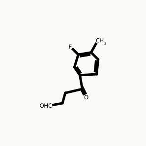 Cc1ccc(C(=O)CCC=O)cc1F